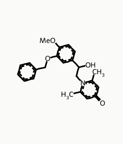 COc1ccc(C(O)Cn2c(C)cc(=O)cc2C)cc1OCc1ccccc1